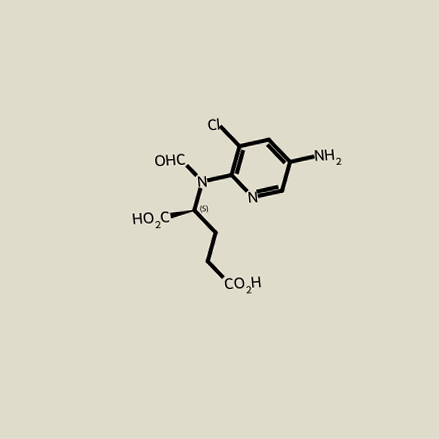 Nc1cnc(N(C=O)[C@@H](CCC(=O)O)C(=O)O)c(Cl)c1